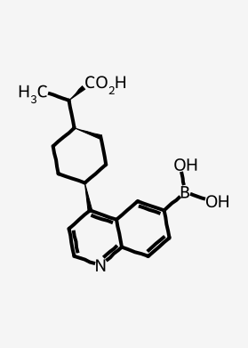 C[C@@H](C(=O)O)[C@H]1CC[C@@H](c2ccnc3ccc(B(O)O)cc32)CC1